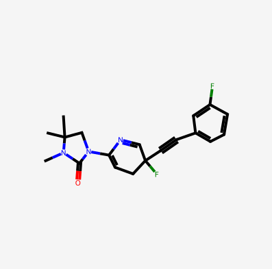 CN1C(=O)N(C2=CCC(F)(C#Cc3cccc(F)c3)C=N2)CC1(C)C